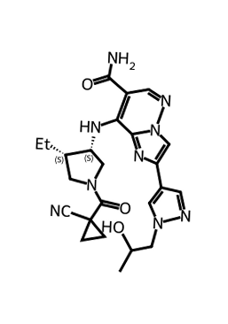 CC[C@H]1CN(C(=O)C2(C#N)CC2)C[C@H]1Nc1c(C(N)=O)cnn2cc(-c3cnn(CC(C)O)c3)nc12